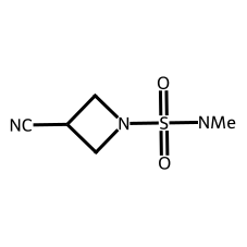 CNS(=O)(=O)N1CC(C#N)C1